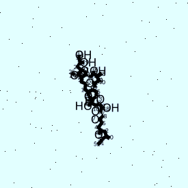 C=C1CC(CCC(=O)C[C@H]2OC3C(OC4CCC(CC(=O)CC5[C@@H](OC)C(CC(O)CO)O[C@H]5CC(O)C(=C)[C@H](C)CC)O[C@@H]4C3O)C2O)OC1CC